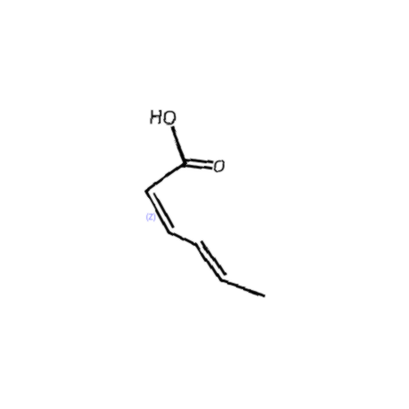 CC=C/C=C\C(=O)O